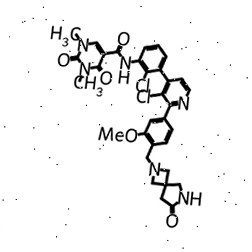 COc1cc(-c2nccc(-c3cccc(NC(=O)c4cn(C)c(=O)n(C)c4=O)c3Cl)c2Cl)ccc1CN1CC2(CNC(=O)C2)C1